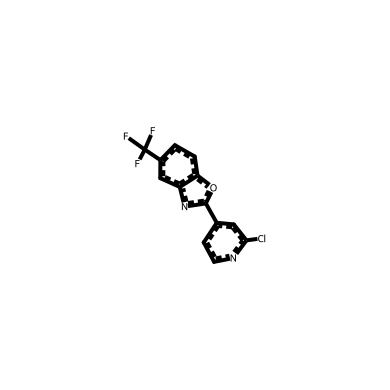 FC(F)(F)c1ccc2oc(-c3ccnc(Cl)c3)nc2c1